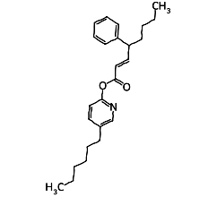 CCCCCCc1ccc(OC(=O)/C=C/C(CCCC)c2ccccc2)nc1